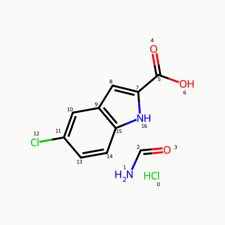 Cl.NC=O.O=C(O)c1cc2cc(Cl)ccc2[nH]1